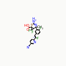 CC1(c2cc(/C=C(\F)c3ccc(C#N)cn3)ccc2F)N=C(N)SC2(C(=O)O)C1C2(F)F